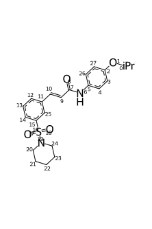 CC(C)Oc1ccc(NC(=O)/C=C/c2cccc(S(=O)(=O)N3CCCCC3)c2)cc1